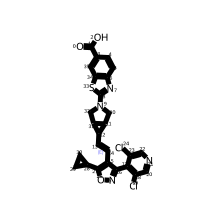 O=C(O)c1ccc2nc(N3CC4C(/C=C/c5c(-c6c(Cl)cncc6Cl)noc5C5CC5)C4C3)sc2c1